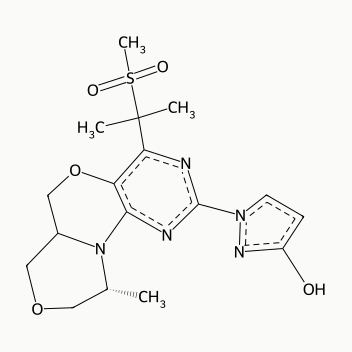 C[C@@H]1COCC2COc3c(nc(-n4ccc(O)n4)nc3C(C)(C)S(C)(=O)=O)N21